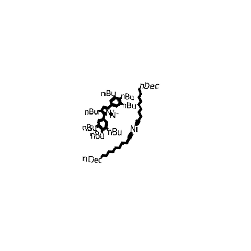 CCCCC1=C(c2cc(CCCC)c(CCCC)c(CCCC)c2)[N+](=[N-])C(c2cc(CCCC)c(CCCC)c(CCCC)c2)=C1.CCCCCCCCCCCCCCCCCCC#[C][Ni][C]#CCCCCCCCCCCCCCCCCCC